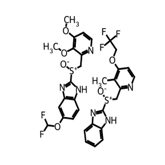 COc1ccnc(C[S+]([O-])c2nc3cc(OC(F)F)ccc3[nH]2)c1OC.Cc1c(OCC(F)(F)F)ccnc1C[S+]([O-])c1nc2ccccc2[nH]1